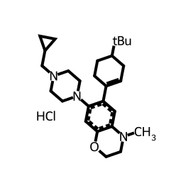 CN1CCOc2cc(N3CCN(CC4CC4)CC3)c(C3=CCC(C(C)(C)C)CC3)cc21.Cl